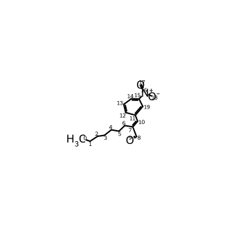 CCCCCCC/C(C=O)=C\c1cccc([N+](=O)[O-])c1